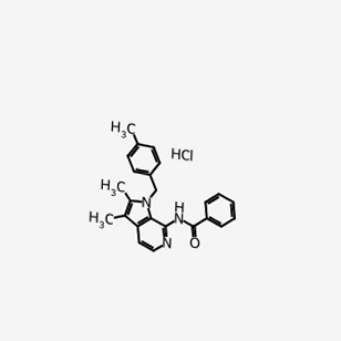 Cc1ccc(Cn2c(C)c(C)c3ccnc(NC(=O)c4ccccc4)c32)cc1.Cl